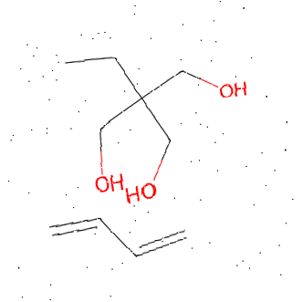 C=CC=C.CCC(CO)(CO)CO